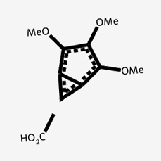 CC(=O)O.COc1c2cc-2c(OC)c1OC